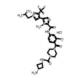 CC(C)Cn1cc(-c2cnc(C(=O)Nc3ccc(C(=O)N4CCN(C(=O)N[C@H]5C[C@@H](N)C5)CC4)c(Cl)c3)n2C)c(C(F)(F)F)n1.Cl